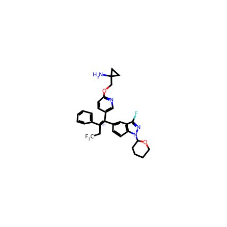 NC1(COc2ccc(/C(=C(/CC(F)(F)F)c3ccccc3)c3ccc4c(c3)c(F)nn4C3CCCCO3)cn2)CC1